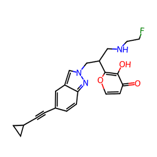 O=c1ccoc(C(CNCCF)Cn2cc3cc(C#CC4CC4)ccc3n2)c1O